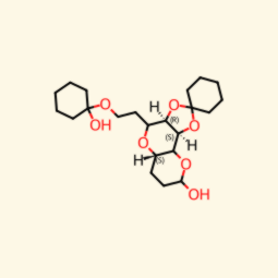 OC1CC[C@@H]2OC(CCOC3(O)CCCCC3)[C@H]3OC4(CCCCC4)O[C@H]3C2O1